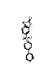 O=c1[nH]c2ccc(S(=O)(=O)N3CCC(C4C=CCC=C4)CC3)cc2o1